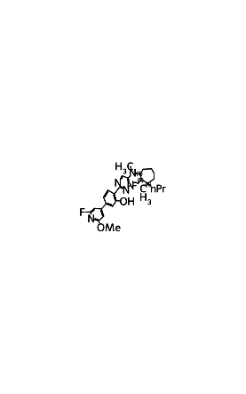 CCC[C@]1(C)CCCC[C@H](N(C)c2cnc(-c3ccc(-c4cc(F)nc(OC)c4)cc3O)nn2)[C@@H]1F